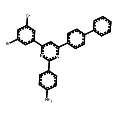 Nc1ccc(-c2nc(-c3ccc(-c4ccccc4)cc3)cc(-c3cc(Br)cc(Br)c3)n2)cc1